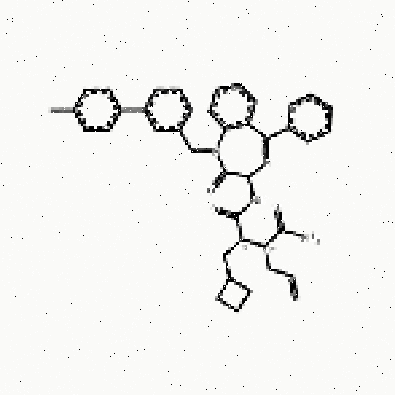 C=CC[C@H](C(N)=O)[C@@H](CC1CCC1)C(=O)NC1N=C(c2ccccc2)c2ccccc2N(Cc2cccc(-c3ccc(C)cc3)c2)C1=O